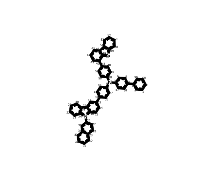 c1ccc(-c2ccc(N(c3ccc(-c4ccc5c(c4)c4ccccc4n5-c4ccc5ccccc5c4)cc3)c3ccc(-c4cccc5c4sc4ccccc45)cc3)cc2)cc1